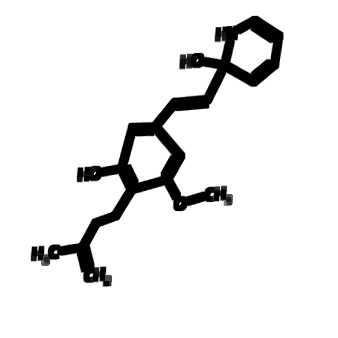 C=C(C)CCc1c(O)cc(C=CC2(O)C=CC=CN2)cc1OC